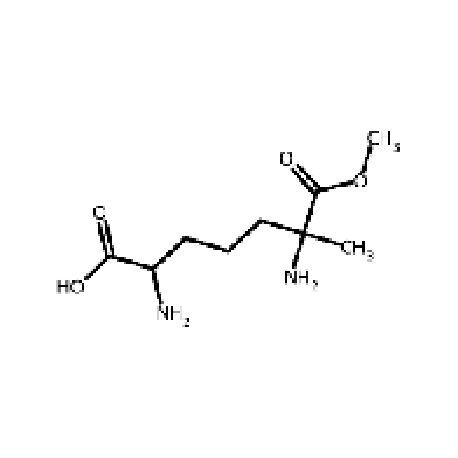 COC(=O)C(C)(N)CCCC(N)C(=O)O